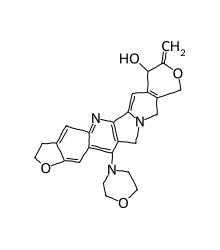 C=C1OCC2=C(C=C3c4nc5cc6c(cc5c(N5CCOCC5)c4CN3C2)OCC6)C1O